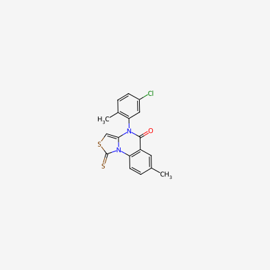 Cc1ccc2c(c1)c(=O)n(-c1cc(Cl)ccc1C)c1csc(=S)n21